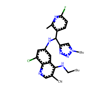 Cc1nc(F)ccc1C(Nc1cc(Cl)c2ncc(C#N)c(NCC(C)(C)C)c2c1)c1cn(C(C)(C)C)nn1